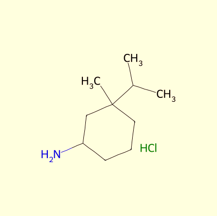 CC(C)C1(C)CCCC(N)C1.Cl